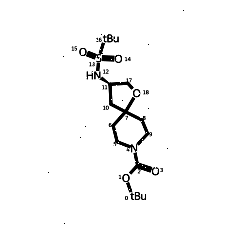 CC(C)(C)OC(=O)N1CCC2(CC1)C[C@@H](NS(=O)(=O)C(C)(C)C)CO2